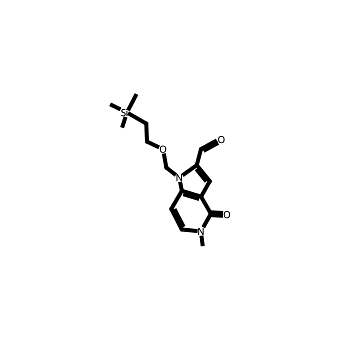 Cn1ccc2c(cc(C=O)n2COCC[Si](C)(C)C)c1=O